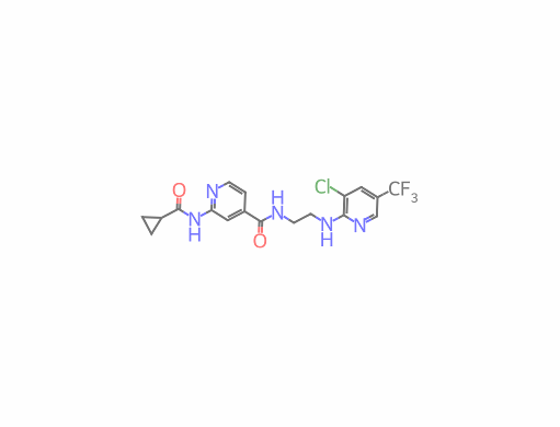 O=C(NCCNc1ncc(C(F)(F)F)cc1Cl)c1ccnc(NC(=O)C2CC2)c1